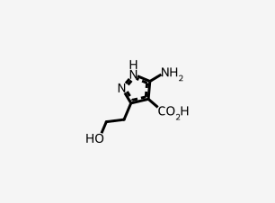 Nc1[nH]nc(CCO)c1C(=O)O